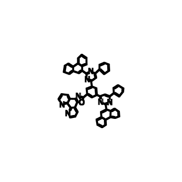 c1ccc(-c2cc(-c3cc(-c4cc(-c5ccccc5)nc(-c5cc6ccccc6c6ccccc56)n4)cc(-c4nc5c6cccnc6c6ncccc6c5o4)c3)nc(-c3cc4ccccc4c4ccccc34)n2)cc1